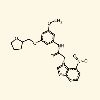 COc1cc(NC(=O)Cn2cnc3cccc([N+](=O)[O-])c32)cc(OCC2CCCO2)c1